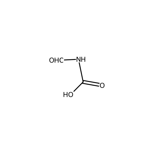 O=CNC(=O)O